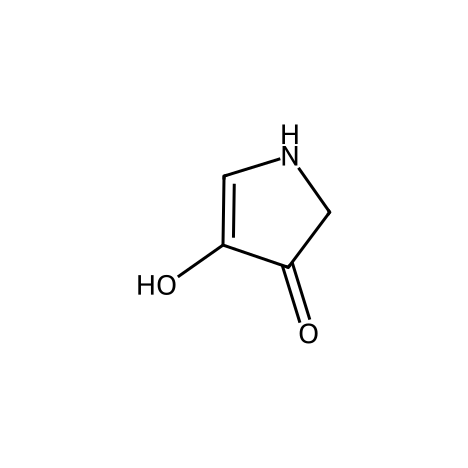 O=C1CNC=C1O